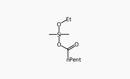 CCCCCC(=O)O[Si](C)(C)OCC